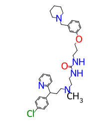 CN(CCNC(=O)NCCCOc1cccc(CN2CCCCC2)c1)CCC(c1ccc(Cl)cc1)c1ccccn1